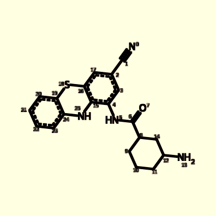 N#Cc1cc(NC(=O)C2CCCC(N)C2)c2c(c1)Sc1ccccc1N2